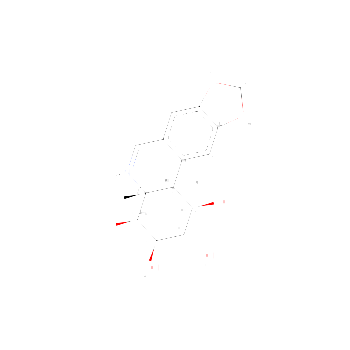 O[C@@H]1[C@@H](O)[C@H](O)[C@@H]2c3cc4c(cc3C=N[C@H]2[C@@H]1O)OCO4